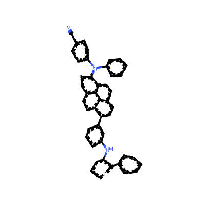 N#Cc1ccc(N(c2ccccc2)c2ccc3ccc4c(-c5cccc(Nc6ccccc6-c6ccccc6)c5)ccc5ccc2c3c54)cc1